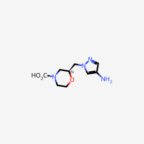 Nc1cnn(C[C@@H]2CN(C(=O)O)CCO2)c1